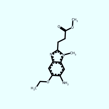 CCOc1cc2nc(CCC(=O)OC)n(C)c2cc1N